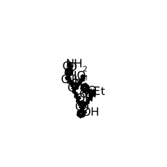 CCC1CC(CCCC2CC(CC(O)CCCC3CC(CCC[C@H](C)O)OC(CNC(=O)c4ccc(S(N)(=O)=O)cc4)O3)OC(c3ccccc3O)O2)OC(c2ccccc2O)O1